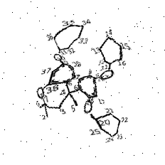 CC1(C)CC(C)(c2ccc(OC3CCCCC3)cc2OC2CCCCC2)c2ccc(OC3CCCCC3)cc2O1